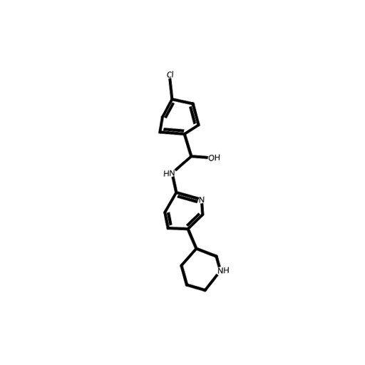 OC(Nc1ccc(C2CCCNC2)cn1)c1ccc(Cl)cc1